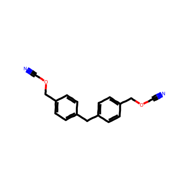 N#COCc1ccc(Cc2ccc(COC#N)cc2)cc1